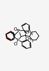 CC(C)(C1CCCCC1)C(P(=O)(c1ccccc1)c1ccccc1)P(=O)(c1ccccc1)c1ccccc1